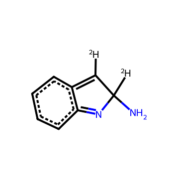 [2H]C1=c2ccccc2=NC1([2H])N